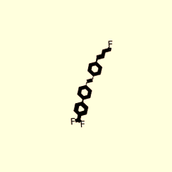 FCCC=C[C@H]1CC[C@H](CC[C@H]2CC[C@H](c3ccc(C(F)F)cc3)CC2)CC1